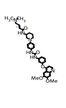 COc1cc2nccc(Oc3cccc(NC(=O)Nc4ccc(N5CCCC(NC(=O)/C=C/CN(C)C)C5)cc4)c3)c2cc1OC